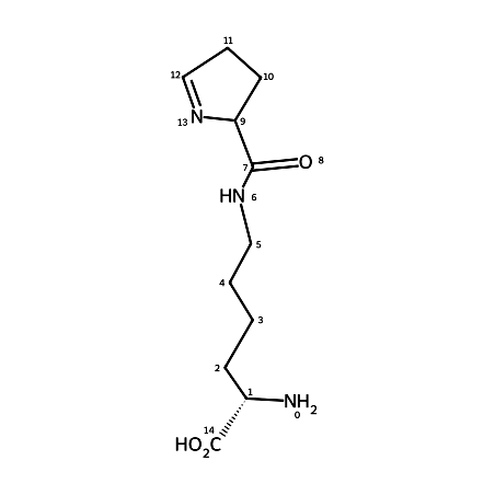 N[C@@H](CCCCNC(=O)C1CCC=N1)C(=O)O